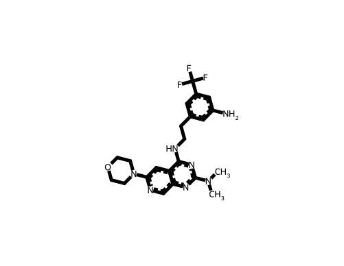 CN(C)c1nc(NCCc2cc(N)cc(C(F)(F)F)c2)c2cc(N3CCOCC3)ncc2n1